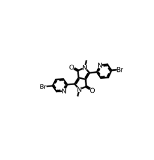 CN1C(=O)C2=C(c3ccc(Br)cn3)N(C)C(=O)C2=C1c1ccc(Br)cn1